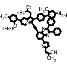 CCCCCCOc1ccc(-c2ccc(-c3c(CC(CC)CCCC)c4cc(-c5ccc(C)cc5OCCCCCC)ccn4c3C#Cc3ccc(-c4ccc(/C=C(/C)C#N)s4)c4nc(-c5ccccc5)c(-c5ccccc5)nc34)cc2)c(C)c1